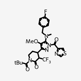 COc1c(C2CCN(C(=O)C(C)(C)C)C(=O)C2C(F)(F)F)nn(C(=O)c2cscn2)c1N(C)Cc1ccc(F)cc1